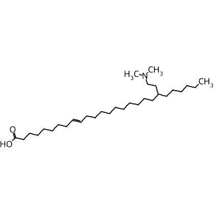 CCCCCCC(CCCCCCCCCCC=CCCCCCCCC(=O)O)CCN(C)C